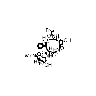 CNC(=O)[C@@H](C)NC(=O)[C@H](C[C@@](C)(O)CO)NC(=O)[C@@H]1Cc2c([nH]c3ccccc23)SC[C@@H](NC(=O)[C@H](C)C(C)C)C(=O)N2C[C@H](O)C[C@H]2C(=O)N[C@@H](C)C(=O)N1